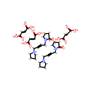 O=C(O)/C=C/C(=O)O.O=C(O)/C=C/C(=O)O.O=C(O)/C=C/C(=O)O.O=C1CCCN1CC#CCN1CCCC1.O=C1CCCN1CC#CCN1CCCC1